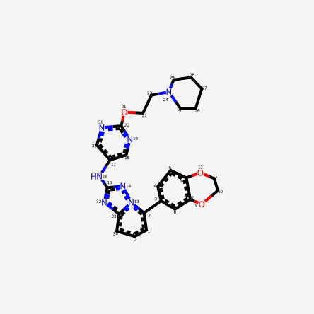 c1cc(-c2ccc3c(c2)OCCO3)n2nc(Nc3cnc(OCCN4CCCCC4)nc3)nc2c1